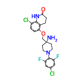 NC1(COc2ccc(Cl)c3c2CCC(=O)N3)CCN(c2c(F)cc(Cl)cc2F)CC1